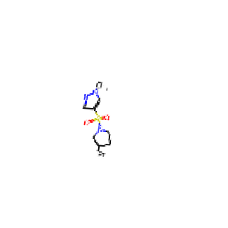 CC(C)[C@@H]1CCN(S(=O)(=O)c2cnn(C)c2)C1